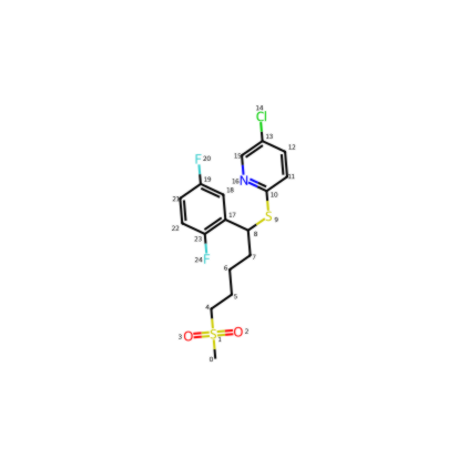 CS(=O)(=O)CCCCC(Sc1ccc(Cl)cn1)c1cc(F)ccc1F